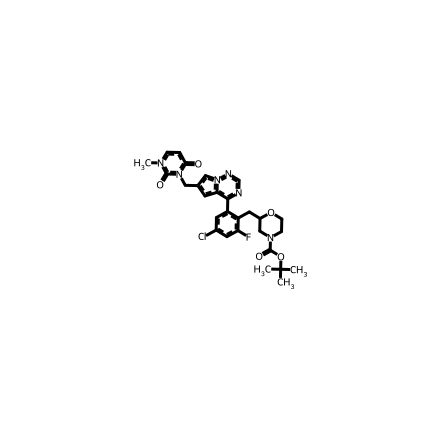 Cn1ccc(=O)n(Cc2cc3c(-c4cc(Cl)cc(F)c4CC4CN(C(=O)OC(C)(C)C)CCO4)ncnn3c2)c1=O